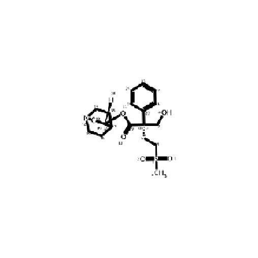 CS(=O)(=O)CC[C@](CO)(C(=O)O[C@H]1CN2CCC1CC2)c1ccccc1